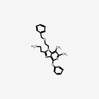 CCCc1nc2c(Oc3ccccc3)nc(C)c(C)c2n1CCOCc1ccccc1